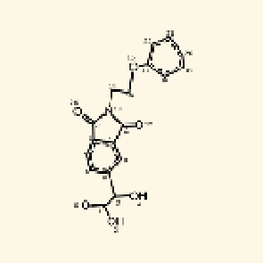 O=C(O)C(O)c1ccc2c(c1)C(=O)N(CCOc1ccccc1)C2=O